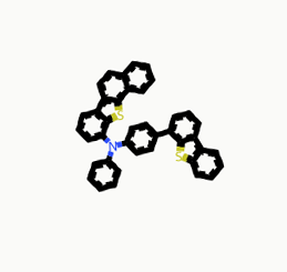 c1ccc(N(c2ccc(-c3cccc4c3sc3ccccc34)cc2)c2cccc3c2sc2c4ccccc4ccc32)cc1